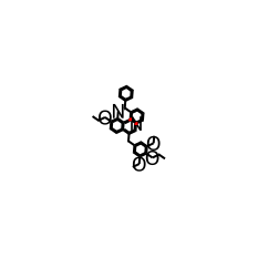 CCOc1ccc2c(Cc3cc(OC)c(OCC)c(OC)c3)cncc2c1N=C(c1ccccc1)c1ccccc1